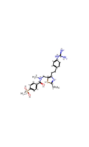 CC(=O)Nc1nc(CCc2ccc(NC(=N)N)cc2)c(CN(C)C(=O)c2ccc(S(C)(=O)=O)cc2)s1